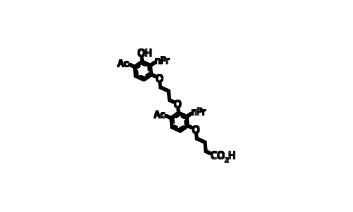 CCCc1c(OCCCOc2c(C(C)=O)ccc(OCCCC(=O)O)c2CCC)ccc(C(C)=O)c1O